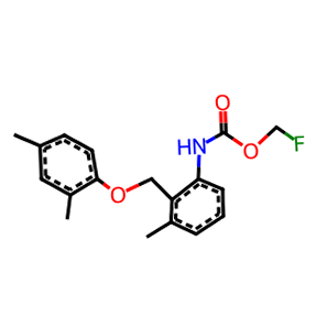 Cc1ccc(OCc2c(C)cccc2NC(=O)OCF)c(C)c1